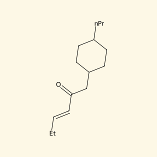 CCC=CC(=O)CC1CCC(CCC)CC1